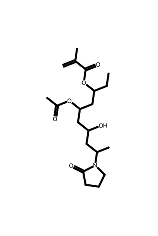 C=C(C)C(=O)OC(CC)CC(CC(O)CC(C)N1CCCC1=O)OC(C)=O